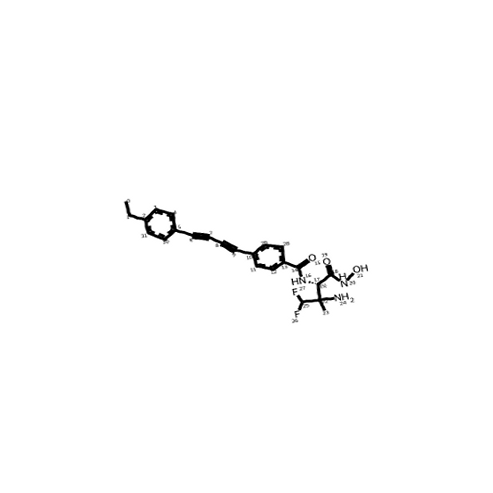 CCc1ccc(C#CC#Cc2ccc(C(=O)N[C@H](C(=O)NO)C(C)(N)C(F)F)cc2)cc1